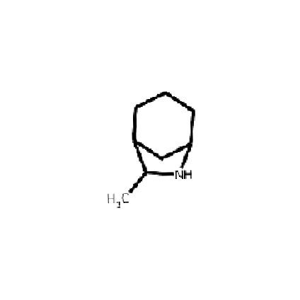 CC1NC2CCCC1C2